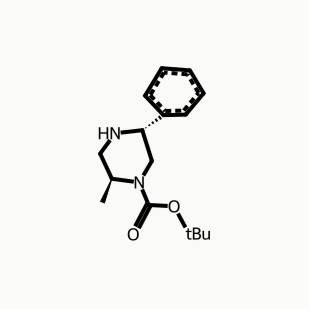 C[C@H]1CN[C@H](c2ccccc2)CN1C(=O)OC(C)(C)C